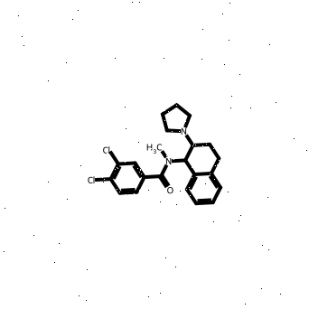 CN(C(=O)c1ccc(Cl)c(Cl)c1)C1c2ccccc2CCC1N1CCCC1